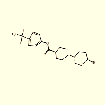 CC[C@H]1CC[C@H]([C@H]2CC[C@H](C(=O)Oc3ccc(C(F)(F)C(F)(F)F)cc3)CC2)CC1